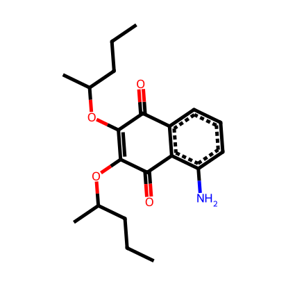 CCCC(C)OC1=C(OC(C)CCC)C(=O)c2c(N)cccc2C1=O